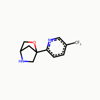 FC(F)(F)c1ccc(C23CNC(CO2)C3)nc1